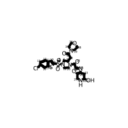 O=C(CC1CN(S(=O)(=O)c2cc3ccc(Cl)cc3s2)CCN1C(=O)c1nc2c(o1)CNC(O)C2)N1CCOCC1